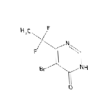 CC(F)(F)c1nc[nH]c(=O)c1Br